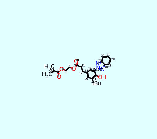 C=C(C)C(=O)OCCOC(=O)CCc1cc(-n2nc3ccccc3n2)c(O)c(C(C)(C)C)c1